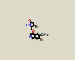 CC[C@@H]1CC(=O)N[C@@H]1COc1cncc2cc(Br)c(OC)cc12